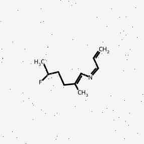 C=C/C=N\C=C(/C)CCC(C)F